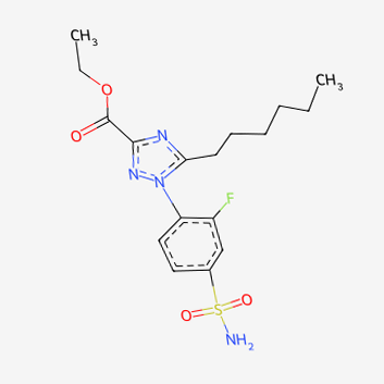 CCCCCCc1nc(C(=O)OCC)nn1-c1ccc(S(N)(=O)=O)cc1F